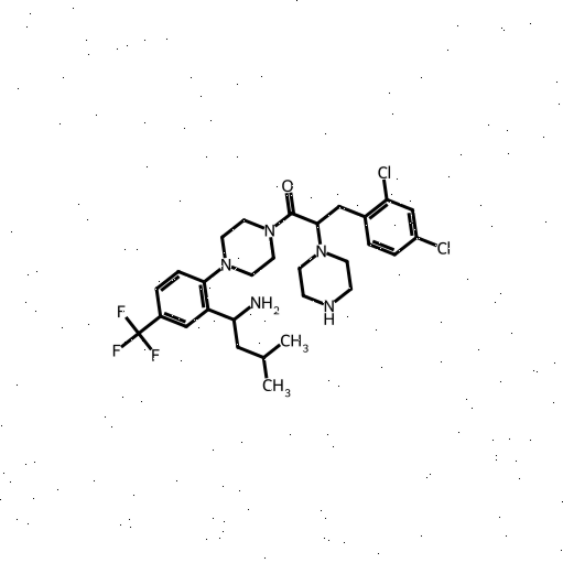 CC(C)CC(N)c1cc(C(F)(F)F)ccc1N1CCN(C(=O)C(Cc2ccc(Cl)cc2Cl)N2CCNCC2)CC1